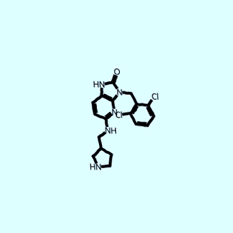 O=c1[nH]c2ccc(NCC3CCNC3)nc2n1Cc1c(Cl)cccc1Cl